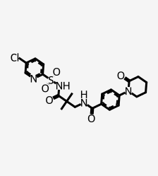 CC(C)(CNC(=O)c1ccc(N2CCCCC2=O)cc1)C(=O)NS(=O)(=O)c1ccc(Cl)cn1